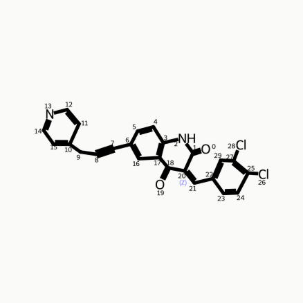 O=C1Nc2ccc(C#CCc3ccncc3)cc2C(=O)/C1=C/c1ccc(Cl)c(Cl)c1